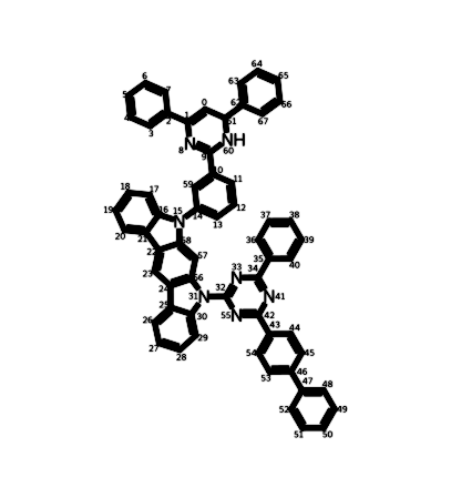 C1=C(c2ccccc2)N=C(c2cccc(-n3c4ccccc4c4cc5c6ccccc6n(-c6nc(-c7ccccc7)nc(-c7ccc(-c8ccccc8)cc7)n6)c5cc43)c2)NC1c1ccccc1